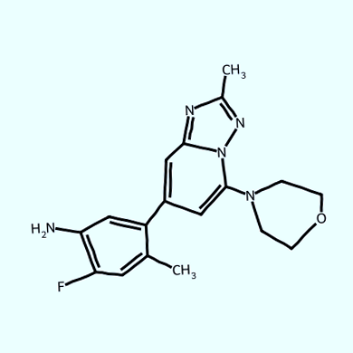 Cc1nc2cc(-c3cc(N)c(F)cc3C)cc(N3CCOCC3)n2n1